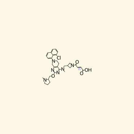 CN(CC1CN(C(=O)/C=C/C(=O)O)C1)c1nc(OCC2CCCN2C)nc2c1CCN(c1cccc3cccc(Cl)c13)C2